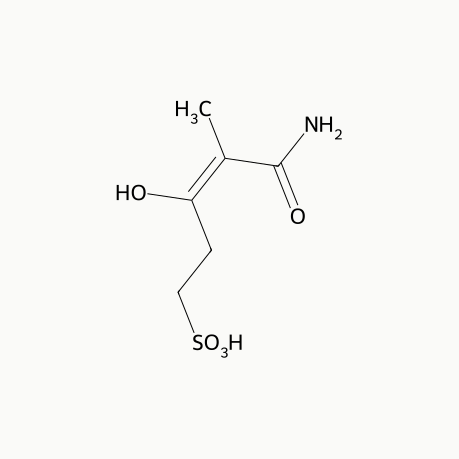 CC(C(N)=O)=C(O)CCS(=O)(=O)O